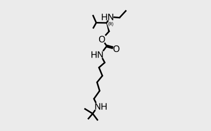 CCN[C@@H](COC(=O)NCCCCCCNC(C)(C)C)C(C)C